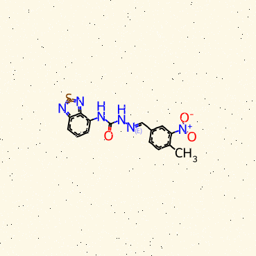 Cc1ccc(/C=N/NC(=O)Nc2cccc3nsnc23)cc1[N+](=O)[O-]